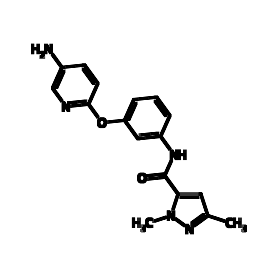 Cc1cc(C(=O)Nc2cccc(Oc3ccc(N)cn3)c2)n(C)n1